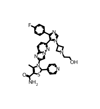 CC1=C(C(N)=O)SC(c2ccncc2)N1c1cn2nc(-c3c(-c4ccc(F)cc4)ncn3C3CN(CCO)C3)ccc2n1